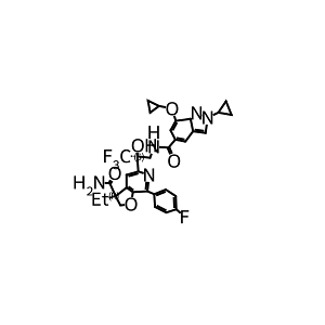 CC[C@]1(C(N)=O)COc2c1cc([C@@](O)(CNC(=O)c1cc(OC3CC3)c3nn(C4CC4)cc3c1)C(F)(F)F)nc2-c1ccc(F)cc1